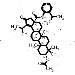 CC(=O)O[C@H]1CC[C@@]2(C)C(CC[C@]3(C)C2CCC2C4=C(C(C)C)C(=O)C[C@]4(C(=O)Nc4ccccc4C(C)C)CC[C@]23C)C1(C)C